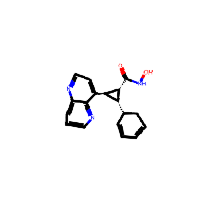 O=C(NO)[C@H]1[C@H](c2ccnc3cccnc23)[C@H]1C1C=CC=CC1